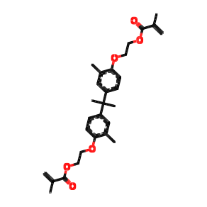 C=C(C)C(=O)OCCOc1ccc(C(C)(C)c2ccc(OCCOC(=O)C(=C)C)c(C)c2)cc1C